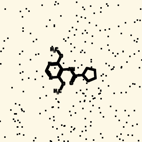 COc1ncnc(OC)c1NC(=O)C1CCCC1